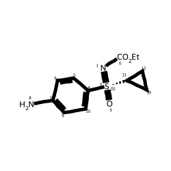 CCOC(=O)N=[S@@](=O)(c1ccc(N)cc1)C1CC1